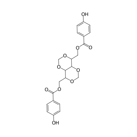 O=C(OCC1OCOC2C(COC(=O)c3ccc(O)cc3)OCOC12)c1ccc(O)cc1